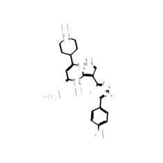 Cl.O=c1cc(C2CCNCC2)n2ncc(-c3nnc(-c4ccc(Cl)cc4)o3)c2[nH]1